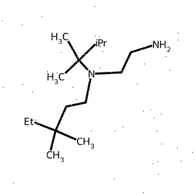 CCC(C)(C)CCN(CCN)C(C)(C)C(C)C